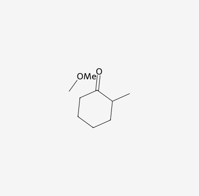 CC1CCCCC1=O.COC